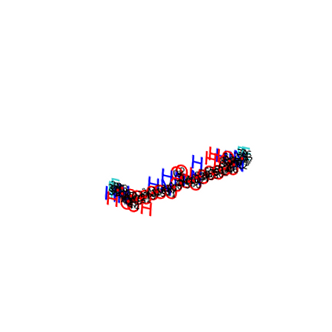 O=C(O)CNC(COCCC(=O)NCCOCCOCCOCCOC[C@H]1OC[C@H](Nc2nccc(C(F)(F)F)n2)[C@@H](O)[C@H]1O)COCCC(=O)NCCOCCOCCOCCOC[C@H]1OC[C@H](Nc2nccc(C(F)(F)F)n2)[C@@H](O)[C@H]1O